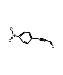 O=CC#Cc1ccc([N+](=O)[O-])cc1